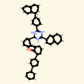 c1ccc(-c2ccc(-c3cccc4c3oc3cccc(C5N=C(c6ccc7ccccc7c6)N=C(c6ccc(-c7cccc8ccccc78)cc6)N5)c34)cc2)cc1